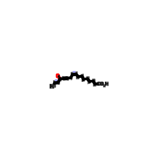 CC/C=C/C(=O)C#CC/C=C\CCCCCCCC(=O)O